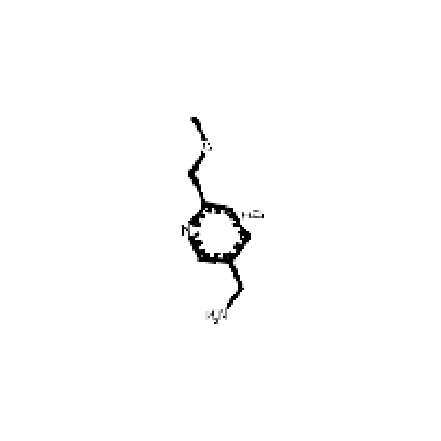 COCc1ccc(CN)cn1.Cl